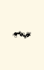 C[C@H]1C(=O)N(CCC(=O)N2CCC3(CC3)[C@H](O)C2)CCN1C(=O)C=Cc1ccc(F)c(Cl)c1